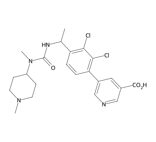 CC(NC(=O)N(C)C1CCN(C)CC1)c1ccc(-c2cncc(C(=O)O)c2)c(Cl)c1Cl